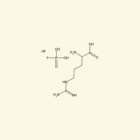 F.N=C(N)NCCCC(N)C(=O)O.O=P(O)(O)F